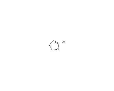 C1=CSCS1.[Co]